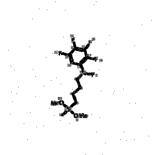 CO[Si](C)(CCCCN(F)c1cc(F)c(F)c(F)c1F)OC